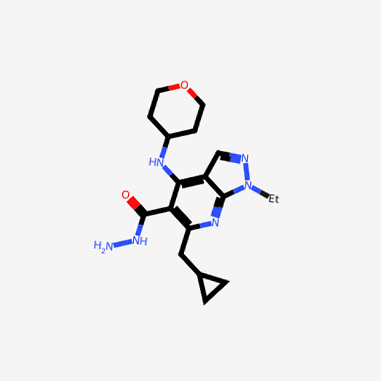 CCn1ncc2c(NC3CCOCC3)c(C(=O)NN)c(CC3CC3)nc21